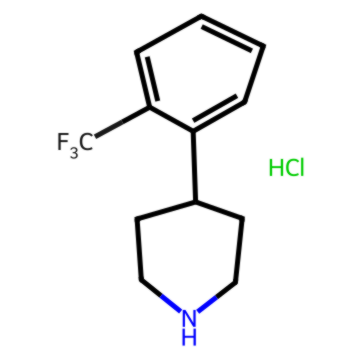 Cl.FC(F)(F)c1ccccc1C1CCNCC1